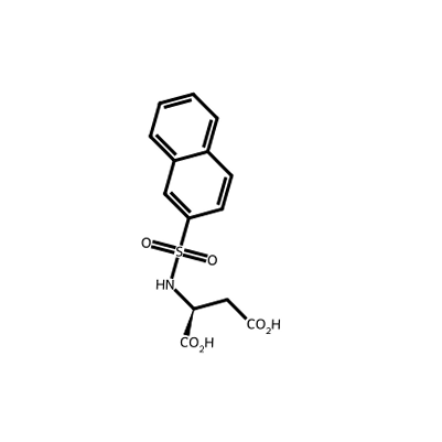 O=C(O)C[C@H](NS(=O)(=O)c1ccc2ccccc2c1)C(=O)O